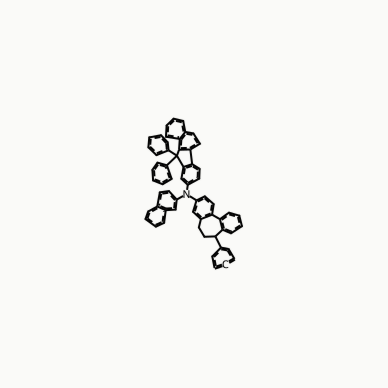 c1ccc(C2CCc3cc(N(c4ccc5c(c4)C(c4ccccc4)(c4ccccc4)c4c-5ccc5ccccc45)c4ccc5ccccc5c4)ccc3-c3ccccc32)cc1